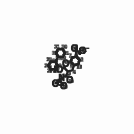 O=C(O)C(Cc1ccc([N+](=O)[O-])cc1)C(=O)N=S(=O)=O.c1ccc(-c2ccccc2)cc1